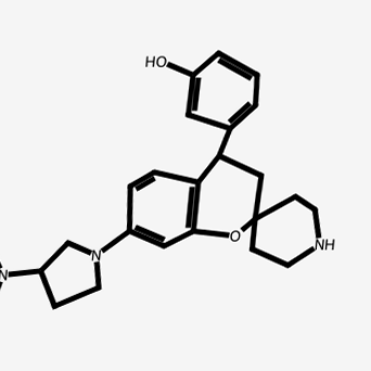 CN(C)C1CCN(c2ccc3c(c2)OC2(CCNCC2)CC3c2cccc(O)c2)C1